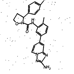 Cc1ccc(-c2ccn3nc(N)nc3c2)cc1NC(=O)N1OCCC1c1ccc(F)cc1